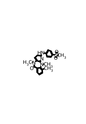 Cc1cccc2c1N(C)C1=NC(Nc3ccc(S(C)(=O)=O)cc3)CC=C1N(C)C2=O